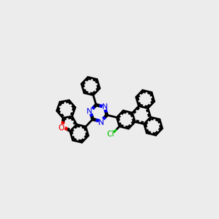 Clc1cc2c3ccccc3c3ccccc3c2cc1-c1nc(-c2ccccc2)nc(-c2cccc3oc4ccccc4c23)n1